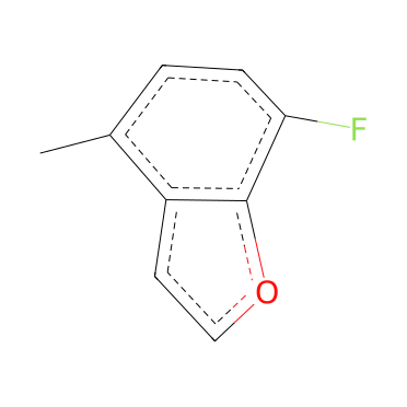 Cc1ccc(F)c2occc12